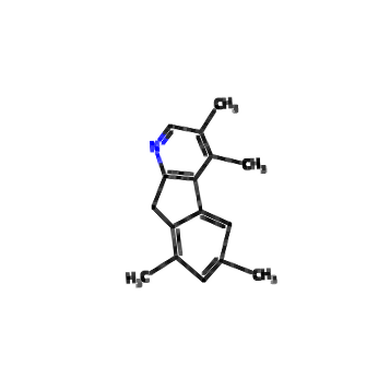 Cc1cc(C)c2c(c1)-c1c(ncc(C)c1C)C2